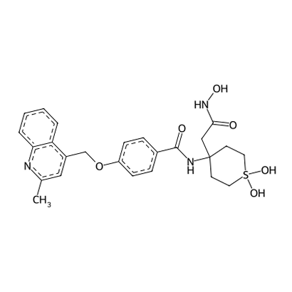 Cc1cc(COc2ccc(C(=O)NC3(CC(=O)NO)CCS(O)(O)CC3)cc2)c2ccccc2n1